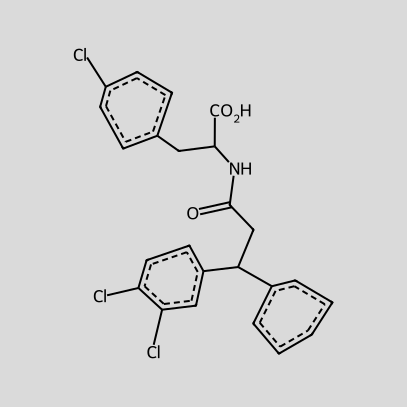 O=C(CC(c1ccccc1)c1ccc(Cl)c(Cl)c1)NC(Cc1ccc(Cl)cc1)C(=O)O